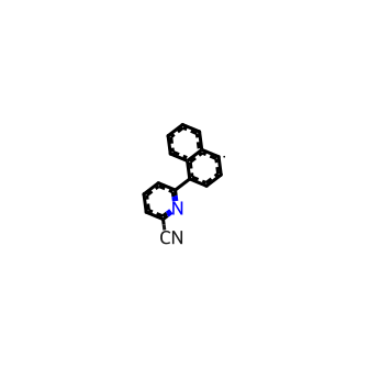 N#Cc1cccc(-c2cc[c]c3ccccc23)n1